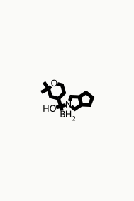 BC(O)(C1CCOC(C)(C)C1)N1CC2CCCC2C1